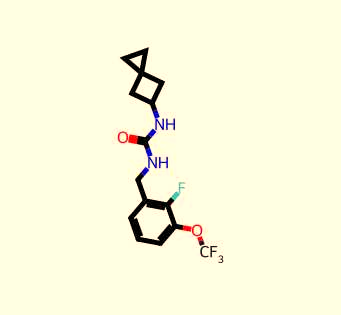 O=C(NCc1cccc(OC(F)(F)F)c1F)NC1CC2(CC2)C1